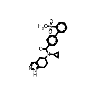 CS(=O)(=O)c1ccccc1-c1ccc(C(=O)N(C2CC2)C2CCc3[nH]ncc3C2)cc1